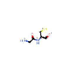 NCC(=O)NC([C]=O)CS